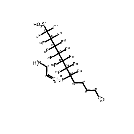 C=CCN.O=S(=O)(O)C(F)(F)C(F)(F)C(F)(F)C(F)(F)C(F)(F)C(F)(F)C(F)(F)CCCCC(F)(F)F